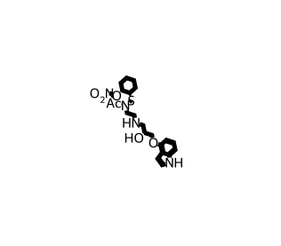 CC(=O)N(CCNCC(O)COc1cccc2[nH]ccc12)S[C@@H]1CCCC[C@H]1O[N+](=O)[O-]